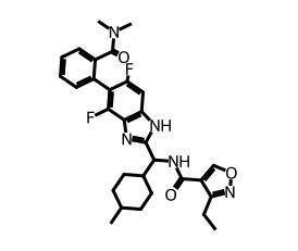 CCc1nocc1C(=O)NC(c1nc2c(F)c(-c3ccccc3C(=O)N(C)C)c(F)cc2[nH]1)C1CCC(C)CC1